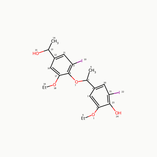 CCOc1cc(C(C)Oc2c(I)cc(C(C)O)cc2OCC)cc(I)c1O